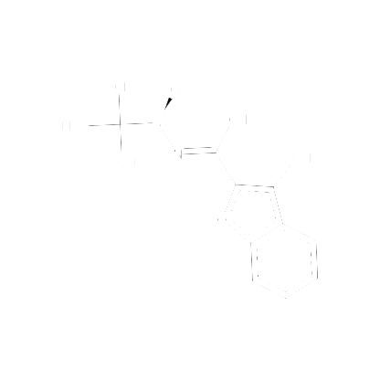 C/C(=N\[S@+]([O-])C(C)(C)C)c1oc2ccccc2c1C